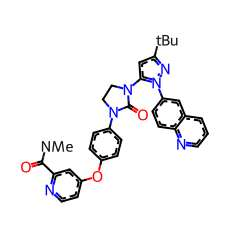 CNC(=O)c1cc(Oc2ccc(N3CCN(c4cc(C(C)(C)C)nn4-c4ccc5ncccc5c4)C3=O)cc2)ccn1